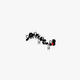 C=CC(=O)Nc1cccc(CNc2nc(Nc3cnn(C4CCN(CCNC(=O)CC5C6CC7CC(C6)CC5C7)CC4)c3)ncc2Cl)c1